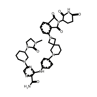 CN1CCN([C@@H]2CCCN(c3cnc(C(N)=O)c(Nc4ccc(N5CCCC6(C5)CN(c5cccc7c5C(=O)N(C5CCC(=O)NC5=O)C7=O)C6)cc4)n3)C2)C1=O